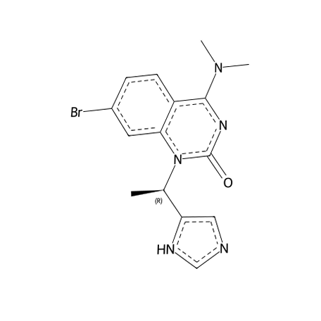 C[C@H](c1cnc[nH]1)n1c(=O)nc(N(C)C)c2ccc(Br)cc21